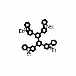 CCN1C2=CC=CCC2c2cc(-c3cc(-c4cc(-c5ccc6c(c5)c5ccccc5n6CC)cc(-c5ccc6c(c5)c5ccccc5n6CC)c4)cc(-c4ccc5c(c4)c4ccccc4n5CC)c3)ccc21